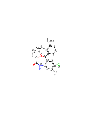 COc1cccc([C@@H]2O[C@@H](CC(=O)O)C(=O)Nc3cc(C(F)(F)F)c(Cl)cc32)c1OC